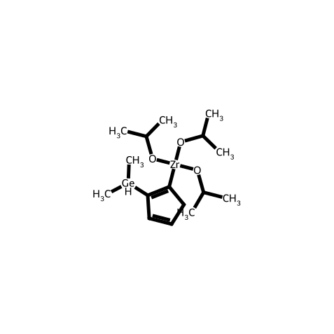 CC(C)[O][Zr]([O]C(C)C)([O]C(C)C)[C]1=[C]([GeH]([CH3])[CH3])C=CC1